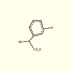 N#CC(C(=O)O)c1cccc(F)c1